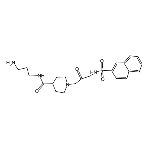 NCCCNC(=O)C1CCN(CC(=O)CNS(=O)(=O)c2ccc3ccccc3c2)CC1